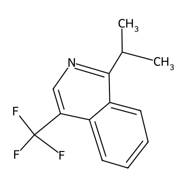 CC(C)c1ncc(C(F)(F)F)c2ccccc12